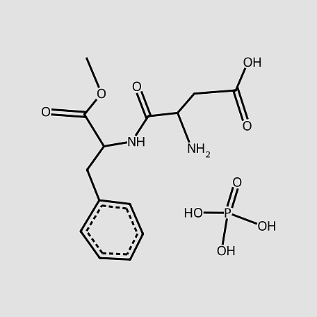 COC(=O)C(Cc1ccccc1)NC(=O)C(N)CC(=O)O.O=P(O)(O)O